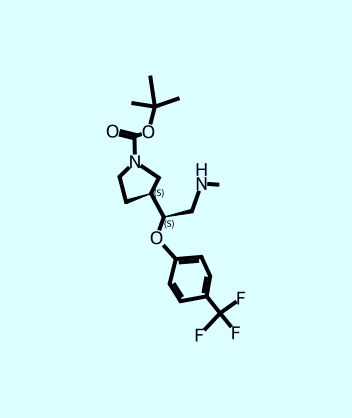 CNC[C@@H](Oc1ccc(C(F)(F)F)cc1)[C@H]1CCN(C(=O)OC(C)(C)C)C1